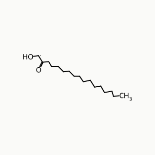 CCCCCCCCCCCCCCCC(=O)[CH]O